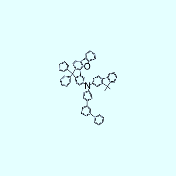 CC1(C)c2ccccc2-c2ccc(N(c3ccc(-c4cccc(-c5ccccc5)c4)cc3)c3ccc4c(c3)-c3c(ccc5c3oc3ccccc35)C4(c3ccccc3)c3ccccc3)cc21